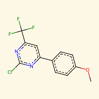 COc1ccc(-c2cc(C(F)(F)F)nc(Cl)n2)cc1